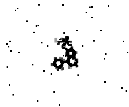 O=S(=O)(Oc1ccc2nccc(-c3cccnc3)c2n1)C(F)(F)F